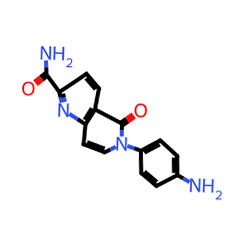 NC(=O)c1ccc2c(=O)n(-c3ccc(N)cc3)ccc2n1